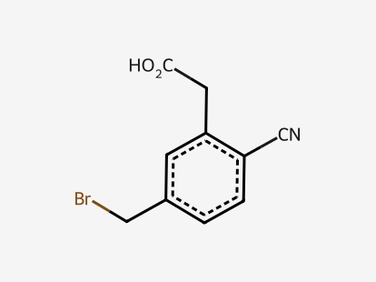 N#Cc1ccc(CBr)cc1CC(=O)O